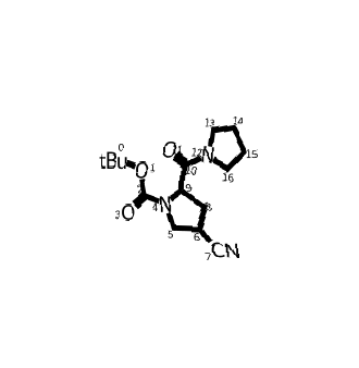 CC(C)(C)OC(=O)N1CC(C#N)CC1C(=O)N1CCCC1